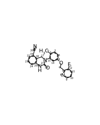 Cc1ccc(OCc2ncccc2F)cc1N1Cc2c(C#N)cccc2NC1=O